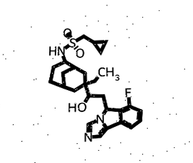 CCC1(C(O)CC2c3c(F)cccc3-c3cncn32)CC2CCC(NS(=O)(=O)CC3CC3)C(C2)C1